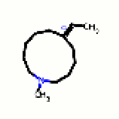 C/C=C1/CCCCCN(C)CCCC1